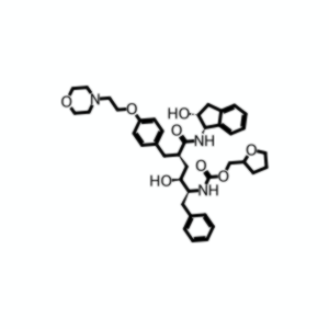 O=C(N[C@@H](Cc1ccccc1)[C@@H](O)C[C@@H](Cc1ccc(OCCN2CCOCC2)cc1)C(=O)N[C@H]1c2ccccc2C[C@H]1O)OCC1CCCO1